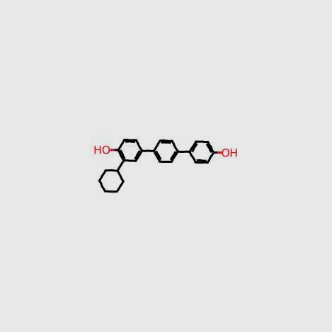 Oc1ccc(-c2ccc(-c3ccc(O)c(C4CCCCC4)c3)cc2)cc1